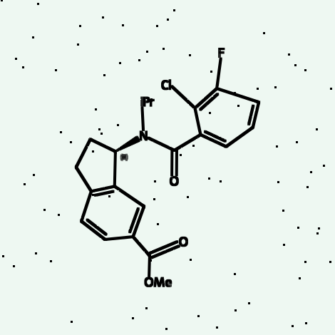 COC(=O)c1ccc2c(c1)[C@H](N(C(=O)c1cccc(F)c1Cl)C(C)C)CC2